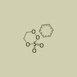 O=S1(=O)OCCOO1.c1ccccc1